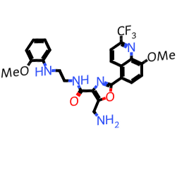 COc1ccccc1NCCNC(=O)c1nc(-c2ccc(OC)c3nc(C(F)(F)F)ccc23)oc1CN